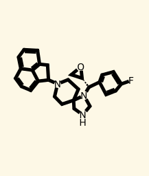 Fc1ccc(C([C@@H]2CO2)N2CNCC23CCN(C2Cc4cccc5cccc2c45)CC3)cc1